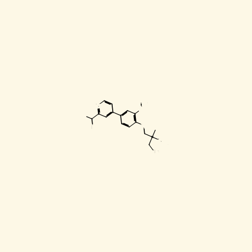 CC(C)CC(C)(N)COc1ccc(-c2ccnc(C(F)F)c2)cc1OC(F)(F)F